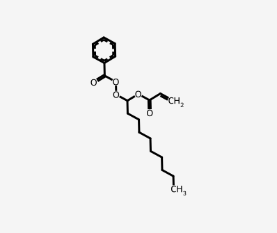 C=CC(=O)OC(CCCCCCCCC)OOC(=O)c1ccccc1